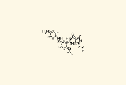 CCCc1nn(C)c2c(=O)[nH]c(-c3cc(SNc4ccc(N)cc4)ccc3OCC)nc12